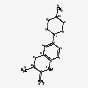 C=C1Nc2ccc(N3CCN(C)CC3)cc2CN1C